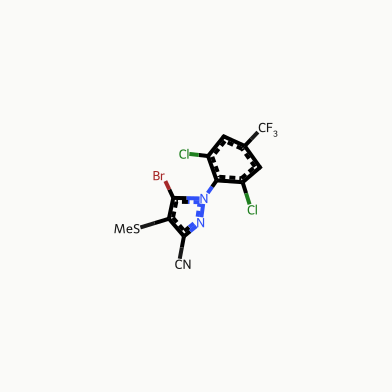 CSc1c(C#N)nn(-c2c(Cl)cc(C(F)(F)F)cc2Cl)c1Br